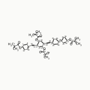 C=C(C)C(=O)Oc1ccc(C#Cc2cc(OC(=O)C(C)=O)c(C#Cc3ccc(-c4ccc(OC(=O)C(=C)C)cc4)cc3)cc2OC(=O)C(=C)C)cc1